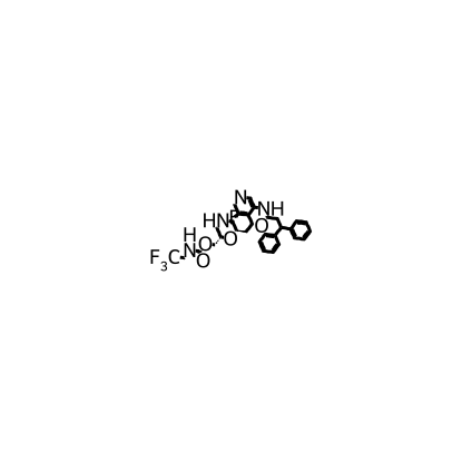 O=C(CC(c1ccccc1)c1ccccc1)Nc1cncc(F)c1CC[C@@H]1CNC[C@@H](COC(=O)NCC(F)(F)F)O1